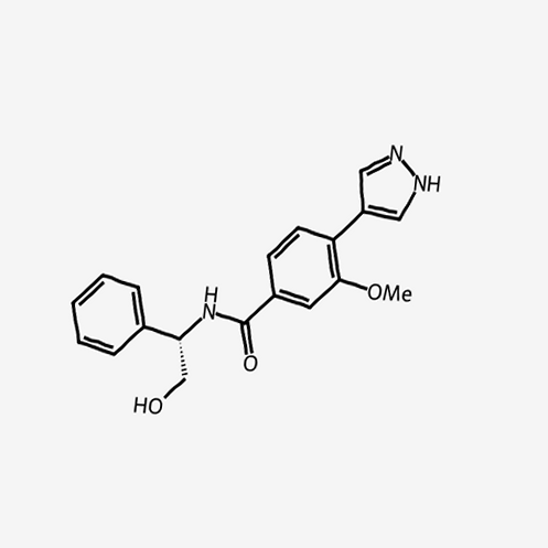 COc1cc(C(=O)N[C@H](CO)c2ccccc2)ccc1-c1cn[nH]c1